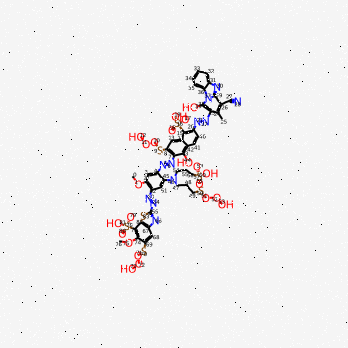 COc1cc(N=Nc2c(SOOO)cc3c(S(=O)(=O)O)c(N=Nc4c(C)c(C#N)c5nc6ccccc6n5c4O)ccc3c2O)c(N(CCCSOOO)CCCS(=O)(=O)O)cc1N=Nc1nc2cc(SOOO)c(OC)c(S(=O)(=O)O)c2s1